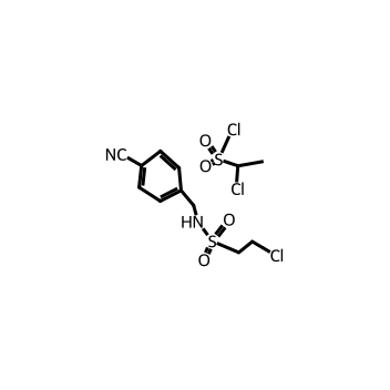 CC(Cl)S(=O)(=O)Cl.N#Cc1ccc(CNS(=O)(=O)CCCl)cc1